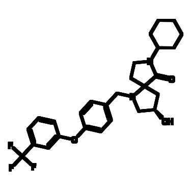 O=C1N(C2CCCCC2)CCC12C[C@@H](O)CN2Cc1ccc(Oc2cccc(C(F)(F)F)c2)cc1